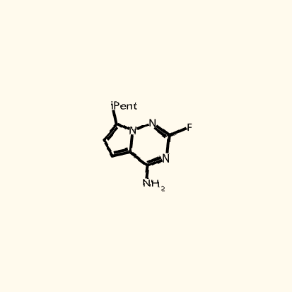 CCCC(C)c1ccc2c(N)nc(F)nn12